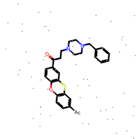 CC(=O)c1ccc2c(c1)Sc1cc(C(=O)CCN3CCN(Cc4ccccc4)CC3)ccc1O2